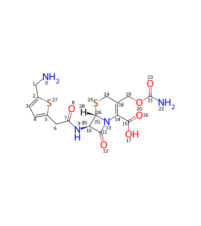 NCc1ccc(CC(=O)N[C@@H]2C(=O)N3C(C(=O)O)=C(COC(N)=O)CS[C@@H]23)s1